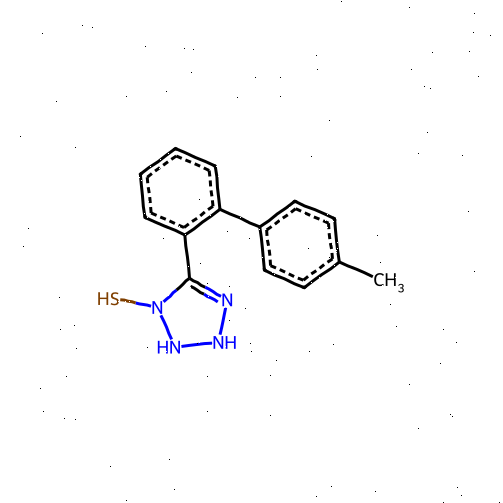 Cc1ccc(-c2ccccc2C2=NNNN2S)cc1